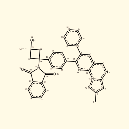 Cc1cc2ncc3cc(-c4ccncc4)c(-c4ccc([C@]5(N6C(=O)c7ccccc7C6=O)C[C@](C)(O)C5)cc4)nc3n2n1